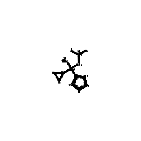 C[SiH](C)OC(c1nccs1)(C1CC1)C(C)(C)C